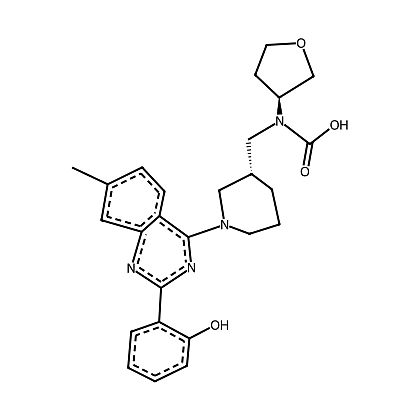 Cc1ccc2c(N3CCC[C@@H](CN(C(=O)O)[C@H]4CCOC4)C3)nc(-c3ccccc3O)nc2c1